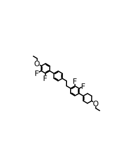 CCOc1ccc(-c2ccc(CCc3ccc(C4=CCC(OCC)CC4)c(F)c3F)cc2)c(F)c1F